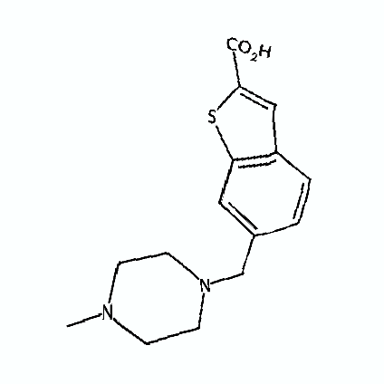 CN1CCN(Cc2ccc3cc(C(=O)O)sc3c2)CC1